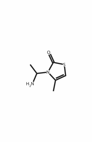 Cc1csc(=O)n1C(C)N